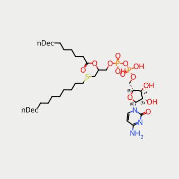 CCCCCCCCCCCCCCCCCCSCC(COP(=O)(O)OP(=O)(O)OC[C@H]1O[C@@H](n2ccc(N)nc2=O)[C@@H](O)[C@@H]1O)OC(=O)CCCCCCCCCCCCCCC